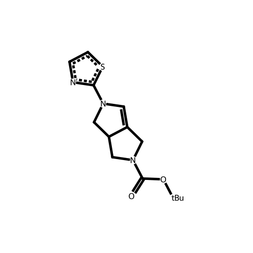 CC(C)(C)OC(=O)N1CC2=CN(c3nccs3)CC2C1